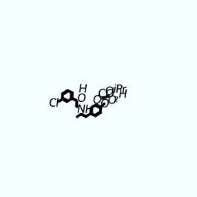 CC(Cc1ccc2c(c1)OC(C(=O)O)(C(=O)OC(C)C)O2)NCC(O)c1cccc(Cl)c1